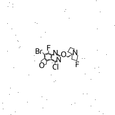 Fc1c(Br)c2c(c3c(Cl)nc(OC[C@@]45CCCN4C[C@H](F)C5)nc13)COC2